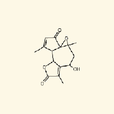 CC1=CC(=O)C23OC2(C)CC(O)C2=C(C)C(=O)OC2C13